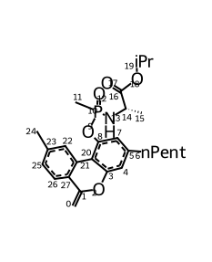 C=C1Oc2cc(CCCCC)cc(OP(C)(=O)N[C@@H](C)C(=O)OC(C)C)c2-c2cc(C)ccc21